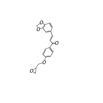 O=C(C=Cc1ccc2c(c1)OCO2)c1ccc(OCC2CO2)cc1